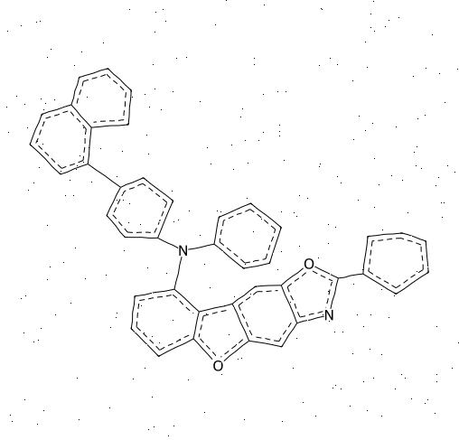 c1ccc(-c2nc3cc4oc5cccc(N(c6ccccc6)c6ccc(-c7cccc8ccccc78)cc6)c5c4cc3o2)cc1